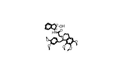 COc1ccc(CC2c3c(cc(OC)c(OC)c3OC)CCN2CC(=O)N[C@@H]2c3ccccc3C[C@@H]2O)cc1OC